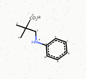 CC(C)(CNc1c[c]ccc1)C(=O)O